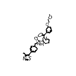 COCCOc1cccc(C(=O)N2CCC[C@H]2C(=O)NCc2ccc(-c3scnc3C)cc2)c1